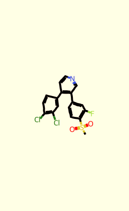 CS(=O)(=O)c1ccc(-c2cnccc2-c2ccc(Cl)c(Cl)c2)cc1F